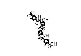 Cc1cc(C(=O)Nc2cc(S(=O)(=O)c3ccc(O)c(NC(=O)c4ccc(C(=O)O)c(C)c4)c3)ccc2O)ccc1C(=O)O